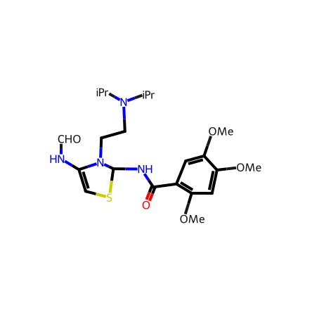 COc1cc(OC)c(C(=O)NC2SC=C(NC=O)N2CCN(C(C)C)C(C)C)cc1OC